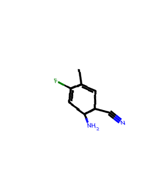 CC1=CC(C#N)C(N)C=C1F